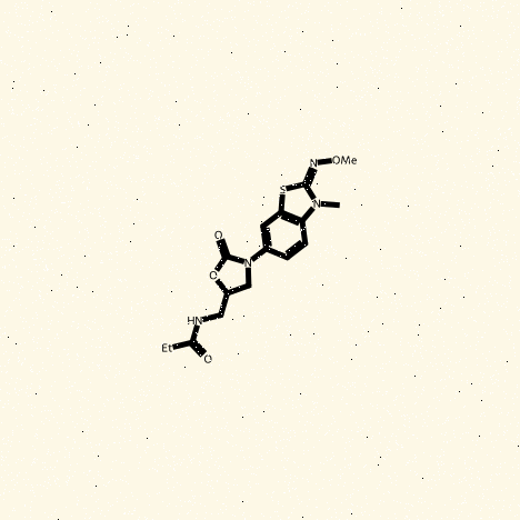 CCC(=O)NCC1CN(c2ccc3c(c2)sc(=NOC)n3C)C(=O)O1